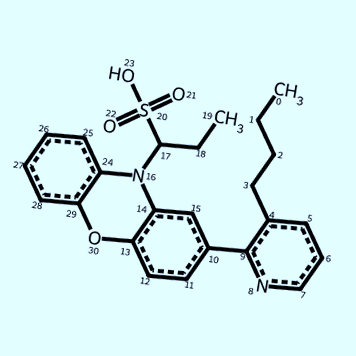 CCCCc1cccnc1-c1ccc2c(c1)N(C(CC)S(=O)(=O)O)c1ccccc1O2